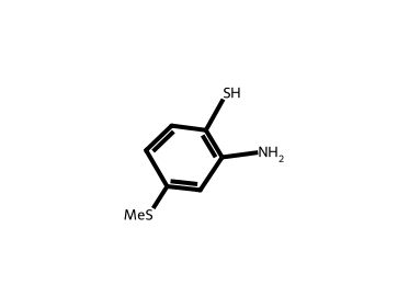 CSc1ccc(S)c(N)c1